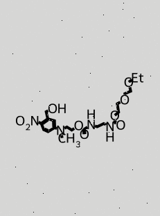 CCOCCOCCOC(=O)NCCNC(=O)OCCN(C)c1ccc([N+](=O)[O-])c(CO)c1